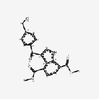 COC(=O)c1ccc(C(=O)OC)c2c(C(=O)c3ccc(CCl)cc3)c[nH]c12